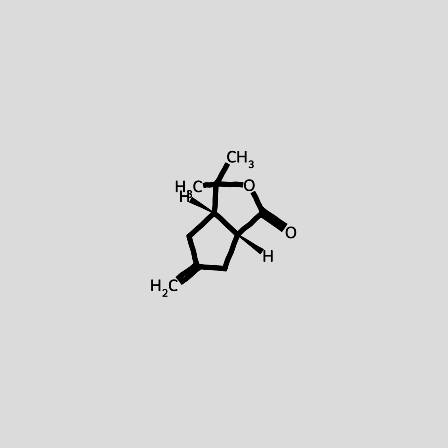 C=C1C[C@H]2C(=O)OC(C)(C)[C@H]2C1